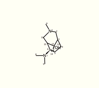 CN1CC2CC[C@@H](N(C)C)C(C1)[C@H]2O